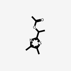 CC(=O)OC(C)c1nc(C)c(C)s1